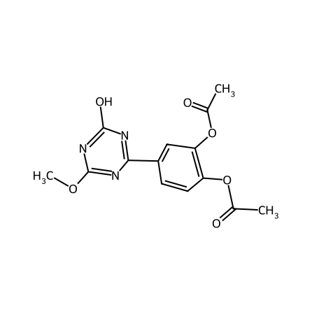 COc1nc(O)nc(-c2ccc(OC(C)=O)c(OC(C)=O)c2)n1